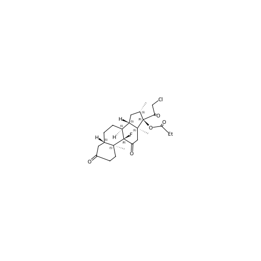 CCC(=O)O[C@]1(C(=O)CCl)[C@@H](C)C[C@H]2[C@@H]3CC[C@H]4CC(=O)CC[C@]4(C)[C@@]3(F)C(=O)C[C@@]21C